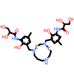 Cc1cc(CN2CCCNCCCN(Cc3cc(C)cc(NC(=O)C(O)CO)c3O)CC2)c(O)c(NC(=O)C(O)CO)c1